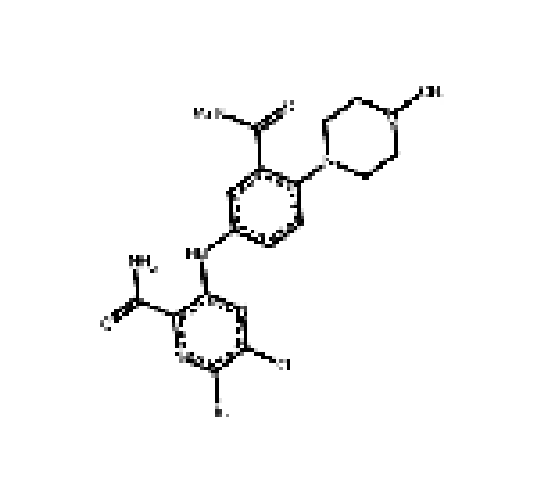 CCc1nc(C(N)=O)c(Nc2ccc(N3CCN(C)CC3)c(C(=O)NC)c2)nc1Cl